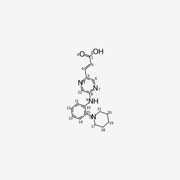 O=C(O)C=Cc1cnc(Nc2ccccc2N2CCCCC2)cn1